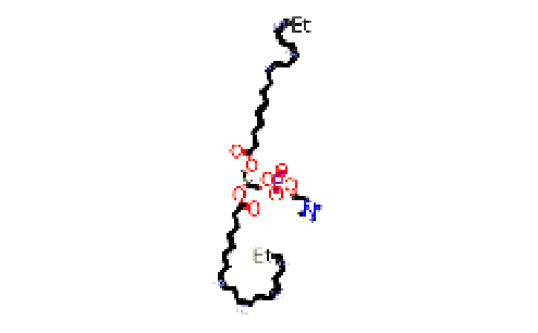 CC/C=C\C/C=C\C/C=C\C/C=C\CCCCCCC(=O)O[C@H](COC(=O)CCCCCCC/C=C\C/C=C\C/C=C\CC)COP(=O)([O-])OCC[N+](C)(C)C